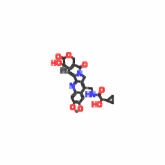 CC[C@@]1(O)C(=O)OCc2c1cc1n(c2=O)Cc2c-1nc1cc3c(cc1c2CNC(=O)C(O)C1CC1)OCO3